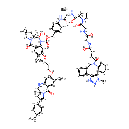 CC[C@H](C)[C@H](NC(=O)[C@H]1CCCN1C(=O)CNC(=O)CNC(=O)CCC(=O)N1Cc2ccccc2-c2nnn(C(C)C)c2-c2ccccc21)C(=O)Nc1ccc(COC(=O)N2c3cc(OCCCOc4cc5c(cc4OC)C(=O)N4C=C(c6ccc(OC)cc6)C[C@H]4CN5)c(OC)cc3C(=O)N3CC4(CC4)C[C@H]3C2O)cc1